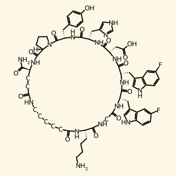 NCCCC[C@@H]1NC(=O)CCCCCNC(=O)CC[C@@H](C(N)=O)NC(=O)[C@@H]2CCCN2C(=O)[C@H](Cc2ccc(O)cc2)NC(=O)[C@H](Cc2c[nH]cn2)NC(=O)[C@H](CC(=O)O)NC(=O)[C@H](Cc2c[nH]c3ccc(F)cc23)NC(=O)[C@H](Cc2c[nH]c3ccc(F)cc23)NC(=O)CNC1=O